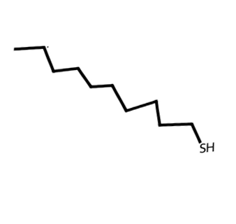 C[CH]CCCCCCCCS